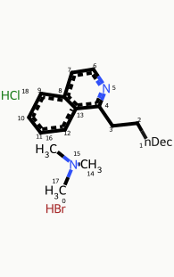 Br.CCCCCCCCCCCCc1nccc2ccccc12.CN(C)C.Cl